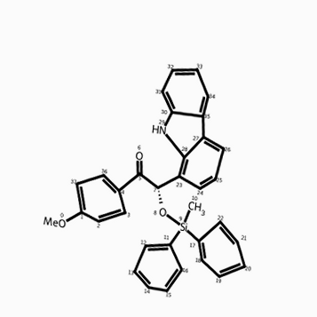 COc1ccc(C(=O)[C@@H](O[Si](C)(c2ccccc2)c2ccccc2)c2cccc3c2[nH]c2ccccc23)cc1